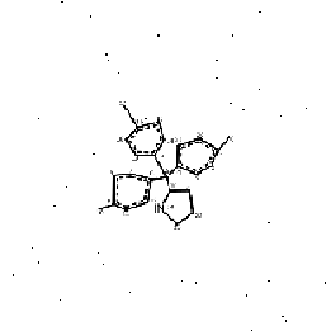 Cc1ccc(C(c2ccc(C)cc2)(c2ccc(C)cc2)[C@H]2CCCN2)cc1